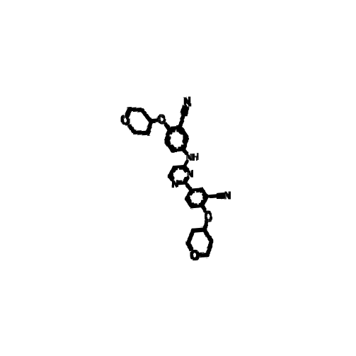 N#Cc1cc(Nc2ccnc(-c3ccc(OC4CCOCC4)c(C#N)c3)n2)ccc1OC1CCOCC1